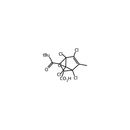 CC1=C(Cl)C2(Cl)C(C(=O)C(C)(C)C)C(C(=O)O)C1(Cl)C2(Cl)Cl